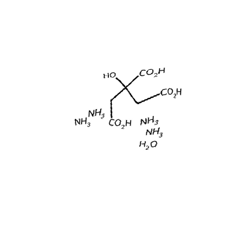 N.N.N.N.O.O=C(O)CC(O)(CC(=O)O)C(=O)O